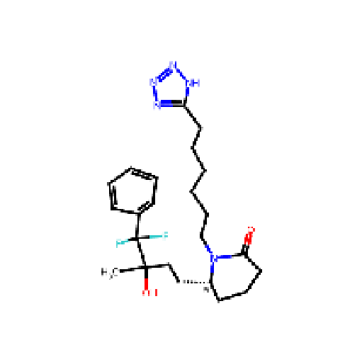 CC(O)(CC[C@H]1CCCC(=O)N1CCCCCCc1nnn[nH]1)C(F)(F)c1ccccc1